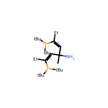 CC/C(=C/C(C)(N)/C=C(/CC)P(C(C)(C)C)C(C)(C)C)P(C(C)(C)C)C(C)(C)C